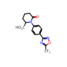 O=C(O)C1CCCC(=O)N1c1ccc(-c2noc(C(F)(F)F)n2)cc1